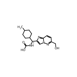 CC1CCC([C@H](NC(=O)O)c2cn3nc(CO)ccc3n2)CC1